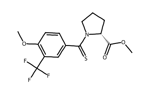 COC(=O)[C@H]1CCCN1C(=S)c1ccc(OC)c(C(F)(F)F)c1